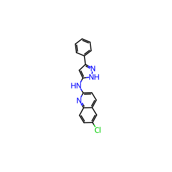 Clc1ccc2nc(Nc3cc(-c4ccccc4)n[nH]3)ccc2c1